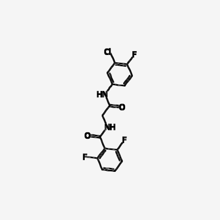 O=C(CNC(=O)c1c(F)cccc1F)Nc1ccc(F)c(Cl)c1